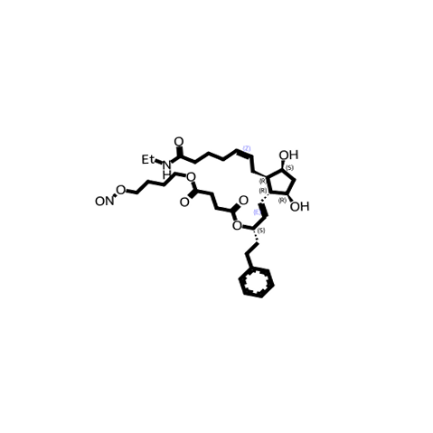 CCNC(=O)CCC/C=C\C[C@@H]1[C@@H](/C=C/[C@H](CCc2ccccc2)OC(=O)CCC(=O)OCCCCON=O)[C@H](O)C[C@@H]1O